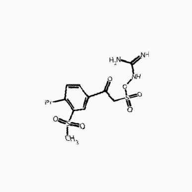 CC(C)c1ccc(C(=O)CS(=O)(=O)ONC(=N)N)cc1S(C)(=O)=O